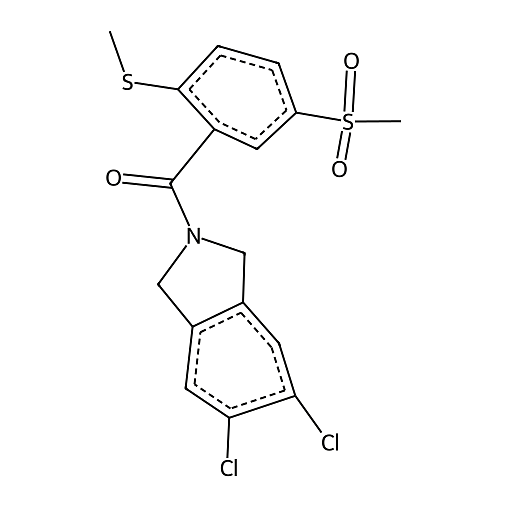 CSc1ccc(S(C)(=O)=O)cc1C(=O)N1Cc2cc(Cl)c(Cl)cc2C1